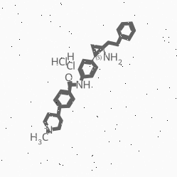 CN1CCC(c2ccc(C(=O)Nc3ccc([C@@H]4C[C@@]4(N)CCc4ccccc4)cc3)cc2)CC1.Cl.Cl